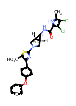 Cc1[nH]c(C(=O)N[C@H]2[C@@H]3CN(c4nc(-c5ccc(Oc6ccccc6)cc5)c(C(=O)O)s4)C[C@@H]32)c(Cl)c1Cl